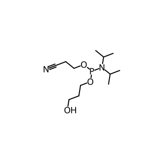 CC(C)N(C(C)C)P(OCCC#N)OCCCO